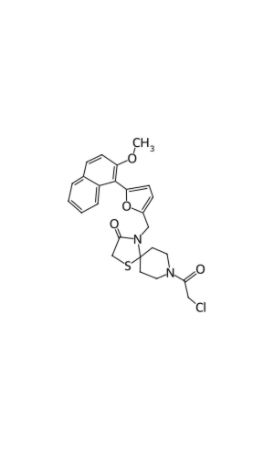 COc1ccc2ccccc2c1-c1ccc(CN2C(=O)CSC23CCN(C(=O)CCl)CC3)o1